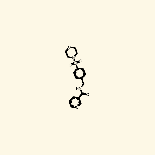 O=C(NCc1ccc(S(=O)(=O)N2CCOCC2)cc1)c1cccnc1